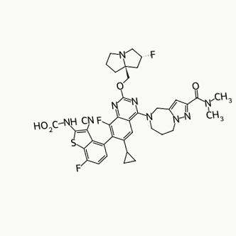 CN(C)C(=O)c1cc2n(n1)CCCN(c1nc(OC[C@@]34CCCN3C[C@H](F)C4)nc3c(F)c(-c4ccc(F)c5sc(NC(=O)O)c(C#N)c45)c(C4CC4)cc13)C2